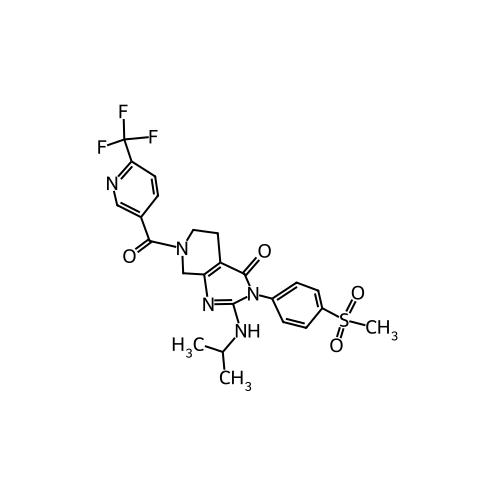 CC(C)Nc1nc2c(c(=O)n1-c1ccc(S(C)(=O)=O)cc1)CCN(C(=O)c1ccc(C(F)(F)F)nc1)C2